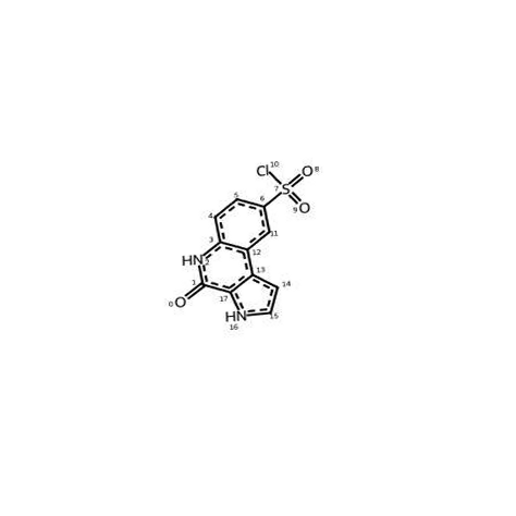 O=c1[nH]c2ccc(S(=O)(=O)Cl)cc2c2cc[nH]c12